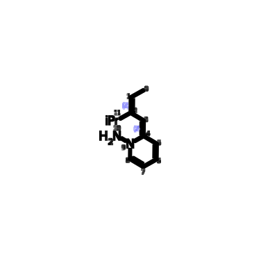 C/C=C(\C=C1\C=CC=CN1N)C(C)C